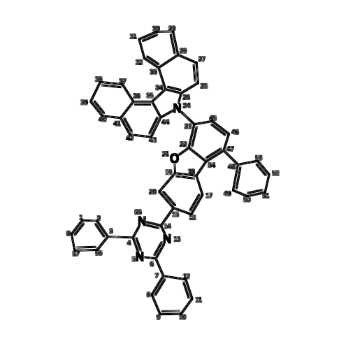 c1ccc(-c2nc(-c3ccccc3)nc(-c3ccc4c(c3)oc3c(-n5c6ccc7ccccc7c6c6c7ccccc7ccc65)ccc(-c5ccccc5)c34)n2)cc1